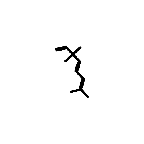 C=CC(C)(C)/C=C/C=C(C)C